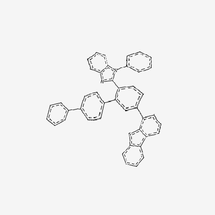 c1ccc(-c2ccc(-c3cc(-c4cccc5c4sc4ccccc45)ccc3-c3nc4ccccc4n3-c3ccccc3)cc2)cc1